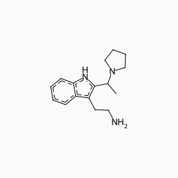 CC(c1[nH]c2ccccc2c1CCN)N1CCCC1